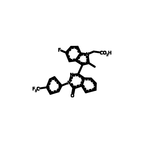 Cc1c(-c2nn(-c3ccc(C(F)(F)F)cc3)c(=O)c3ccccc23)c2cc(F)ccc2n1CC(=O)O